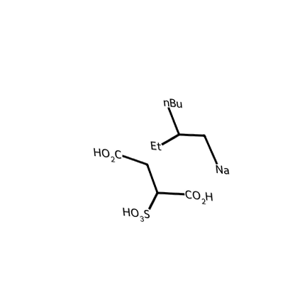 CCCCC(CC)[CH2][Na].O=C(O)CC(C(=O)O)S(=O)(=O)O